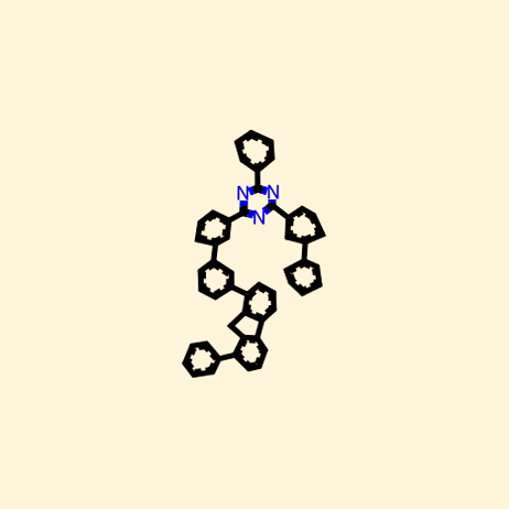 c1ccc(-c2cccc(-c3nc(-c4ccccc4)nc(-c4cccc(-c5cccc(-c6cccc7c6Cc6c(-c8ccccc8)cccc6-7)c5)c4)n3)c2)cc1